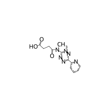 CN(C(=O)CCC(=O)O)c1nnc(-c2ccccn2)nn1